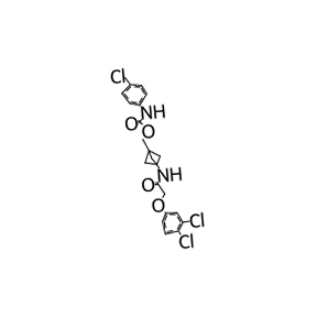 O=C(COc1ccc(Cl)c(Cl)c1)NC12CC(COC(=O)Nc3ccc(Cl)cc3)(C1)C2